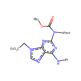 CCCCCN(C(=O)OC(C)(C)C)c1nc(NC(C)C)c2ncn(CC(=O)OCC)c2n1